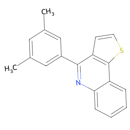 Cc1cc(C)cc(-c2nc3ccccc3c3sccc23)c1